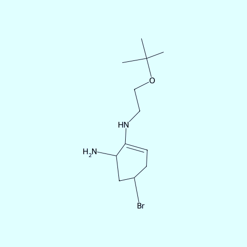 CC(C)(C)OCCNC1=CCC(Br)CC1N